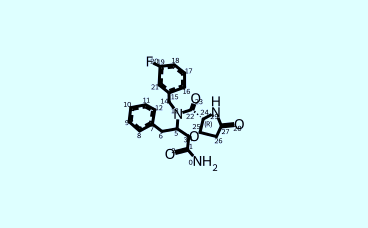 NC(=O)C(=O)C(Cc1ccccc1)N(Cc1cccc(F)c1)C(=O)[C@H]1CCC(=O)N1